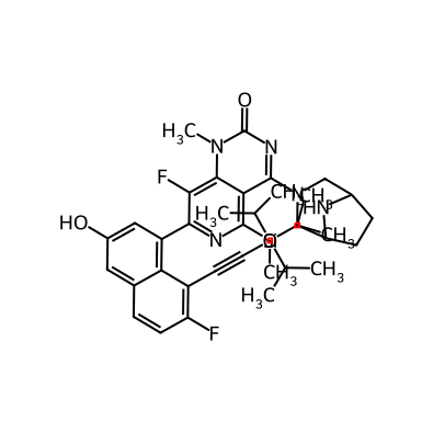 COc1nc(-c2cc(O)cc3ccc(F)c(C#C[Si](C(C)C)(C(C)C)C(C)C)c23)c(F)c2c1c(N1CC3CCC(C1)N3)nc(=O)n2C